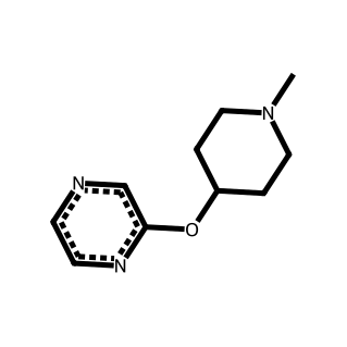 CN1CCC(Oc2cnccn2)CC1